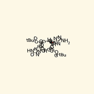 CC(C)(C)C(=O)OCSP1(=O)OC[C@H]2O[C@@H](n3cnc4c(=O)[nH]cnc43)[C@H](F)[C@@H]2OP(=O)(SCOC(=O)C(C)(C)C)OC[C@H]2O[C@@H](n3cnc4c(N)ncnc43)[C@H](O1)[C@H]2F